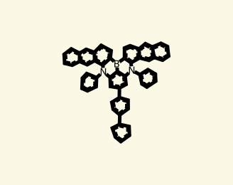 c1ccc(-c2ccc(-c3cc4c5c(c3)N(c3ccccc3)c3c(ccc6cc7ccccc7cc36)B5c3ccc5cc6ccccc6cc5c3N4c3ccccc3)cc2)cc1